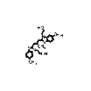 COc1ccc2c(c1)N(CCO)/C(=C/C(C)=C/c1sc3ccc(C)cc3[n+]1CCO)S2